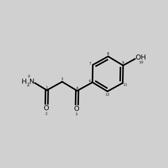 NC(=O)CC(=O)c1ccc(O)cc1